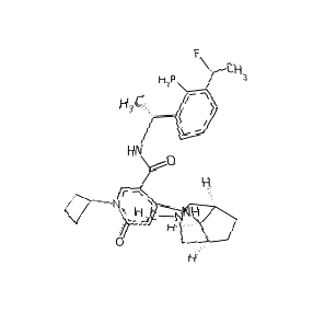 CC(F)c1cccc([C@@H](C)NC(=O)c2cn(C3CCC3)c(=O)cc2N[C@H]2[C@@H]3CC[C@H]2CN(C)C3)c1P